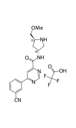 COC[C@@H]1C[C@@H](NC(=O)c2cc(-c3cccc(C#N)c3)ncn2)CN1.O=C(O)C(F)(F)F